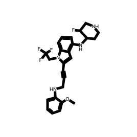 COc1ccccc1NCC#Cc1cc2c(NC3CCNCC3F)cccc2n1CC(F)(F)F